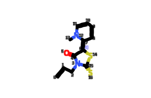 C=CCN1C(=O)/C(=C2/C=CC=CN2C)SC1=S